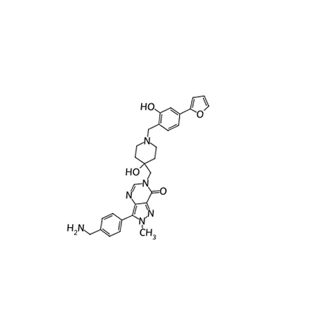 Cn1nc2c(=O)n(CC3(O)CCN(Cc4ccc(-c5ccco5)cc4O)CC3)cnc2c1-c1ccc(CN)cc1